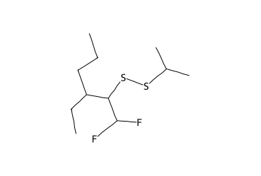 CCCC(CC)C(SSC(C)C)C(F)F